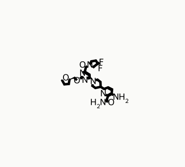 NC(=O)c1nc(C2CCN(c3cc(C(=O)N4CCC(F)(F)C4)nc(OC[C@H]4CCCO4)n3)CC2)ccc1N